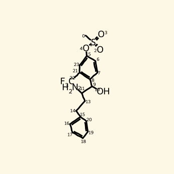 CS(=O)(=O)Oc1ccc(C(O)C(N)CCc2ccccc2)c(C(F)(F)F)c1